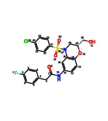 O=C(Cc1ccc(F)cc1)Nc1ccc2c(c1)N(S(=O)(=O)c1ccc(Cl)cc1)C[C@H](CO)O2